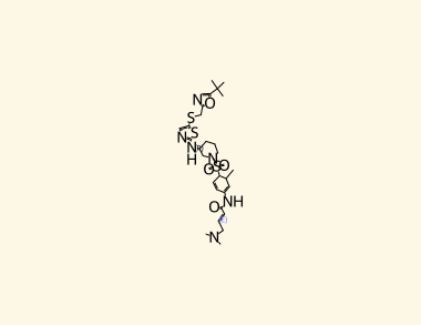 CC1C=C(NC(=O)/C=C/CN(C)C)C=CC1S(=O)(=O)N1CCC[C@@H](Nc2ncc(SCc3ncc(C(C)(C)C)o3)s2)C1